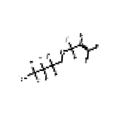 FC(F)=C(F)C(F)(F)OCC(F)(F)C(F)(F)C(F)(F)C(F)(F)F